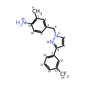 Cc1cc(Cn2ccc(-c3cccc(C(F)(F)F)c3)n2)ccc1N